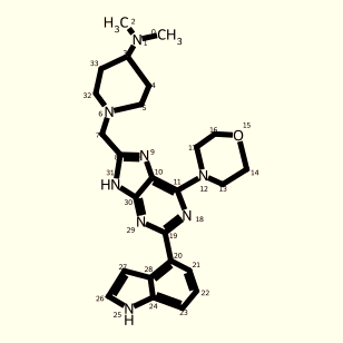 CN(C)C1CCN(Cc2nc3c(N4CCOCC4)nc(-c4cccc5[nH]ccc45)nc3[nH]2)CC1